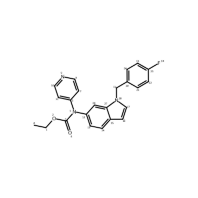 CCOC(=O)N(c1ccncc1)c1ccc2[c]cn(Cc3ccc(F)cc3)c2c1